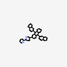 c1ccc(-c2ccc(-c3ccc4c(-c5ccc6ccccc6c5)c5ccccc5c(-c5ccc6ccccc6c5)c4c3)cn2)nc1